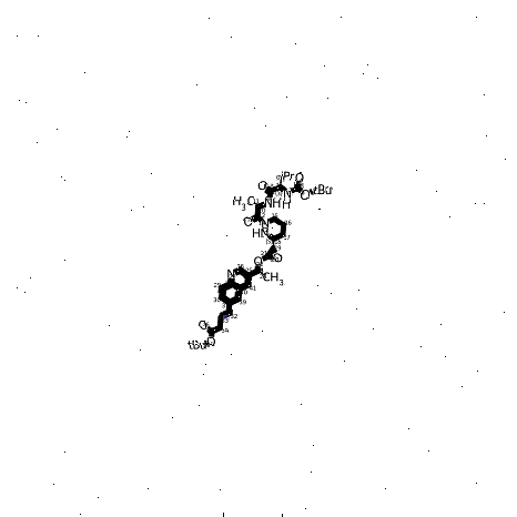 CC(C)[C@H](NC(=O)OC(C)(C)C)C(=O)N[C@@H](C)C(=O)N1CCC[C@@H](C2OC2O[C@H](C)c2cnc3ccc(/C=C/CC(=O)OC(C)(C)C)cc3c2)N1